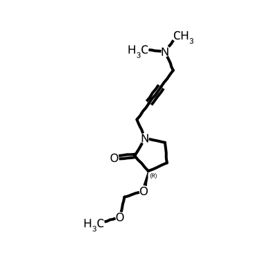 COCO[C@@H]1CCN(CC#CCN(C)C)C1=O